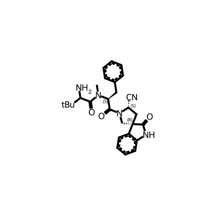 CN(C(=O)C(N)C(C)(C)C)[C@@H](Cc1ccccc1)C(=O)N1C[C@]2(C[C@H]1C#N)C(=O)Nc1ccccc12